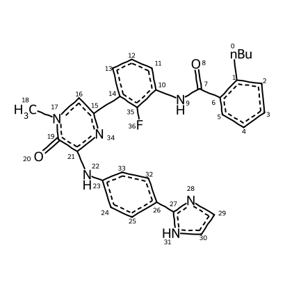 CCCCc1ccccc1C(=O)Nc1cccc(-c2cn(C)c(=O)c(Nc3ccc(-c4ncc[nH]4)cc3)n2)c1F